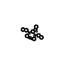 c1ccc2cc(N3c4cc(c5sc6ccccc6c5c4)N(c4ccc5ccccc5c4)c4cccc5c4sc4c3cccc45)ccc2c1